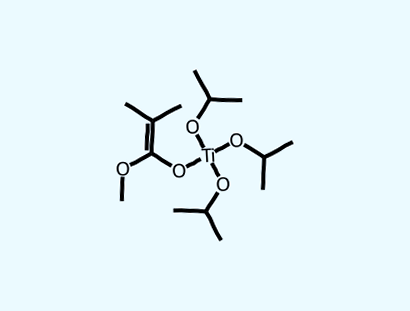 COC([O][Ti]([O]C(C)C)([O]C(C)C)[O]C(C)C)=C(C)C